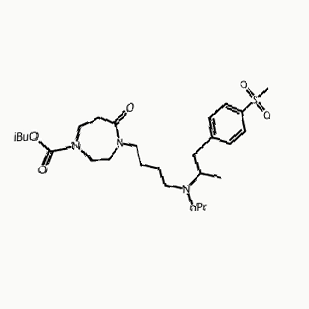 CCCN(CCCCN1CCN(C(=O)OCC(C)C)CCC1=O)C(C)Cc1ccc(S(C)(=O)=O)cc1